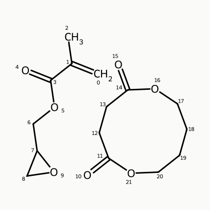 C=C(C)C(=O)OCC1CO1.O=C1CCC(=O)OCCCCO1